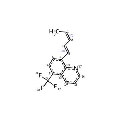 C/C=C\C=C\c1ccc(C(F)(F)F)c2cccnc12